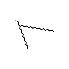 [CH2]CCC(CCCCCCCCCCC)CCCCCCCCCCCCCCCC